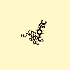 CC(C)(C)OC(=O)N[C@@](C)(Cc1ccc(OS(=O)(=O)C(F)(F)F)cc1)C(=O)O